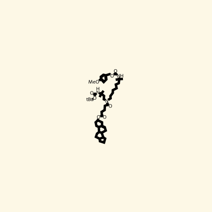 COc1ccc(COC(=O)NC(C)(C)CCCCCCCN(CCC(C)(C)NC(=O)OC(C)(C)C)C(=O)CCCC(=O)OC2CCC3C(=CCC4C5CCCC5CCC34)C2)cc1